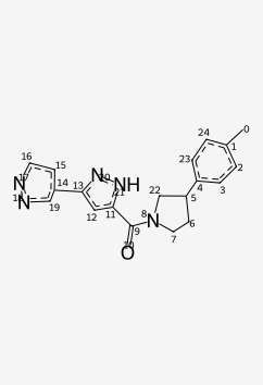 Cc1ccc(C2CCN(C(=O)c3cc(-c4ccnnc4)n[nH]3)C2)cc1